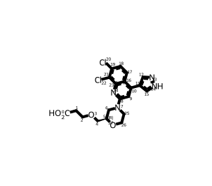 O=C(O)CCOC[C@H]1CN(c2cc(-c3cn[nH]c3)c3ccc(Cl)c(Cl)c3n2)CCO1